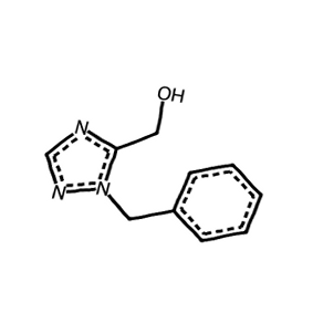 OCc1ncnn1Cc1ccccc1